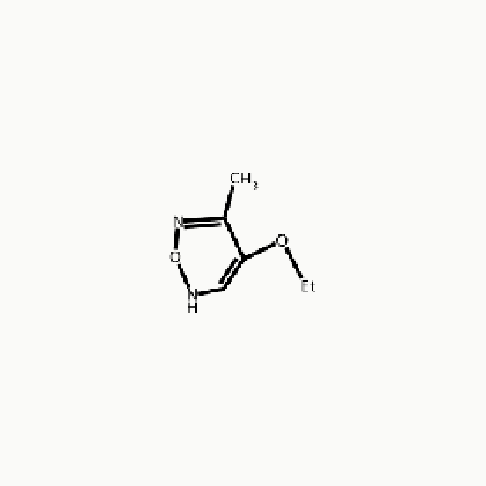 CCOC1=CNON=C1C